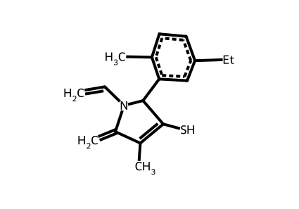 C=CN1C(=C)C(C)=C(S)C1c1cc(CC)ccc1C